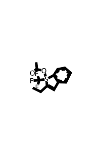 CCC1=Cc2ccccc2S1(OC(C)=O)C(F)(F)F